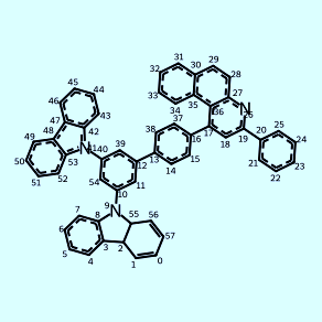 C1=CC2c3ccccc3N(c3cc(-c4ccc(-c5cc(-c6ccccc6)nc6ccc7ccccc7c56)cc4)cc(-n4c5ccccc5c5ccccc54)c3)C2C=C1